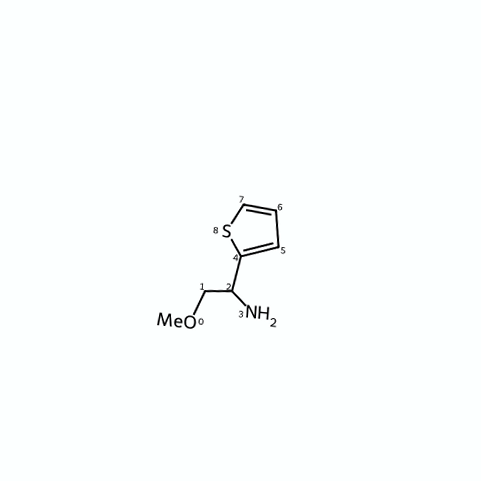 COCC(N)c1cccs1